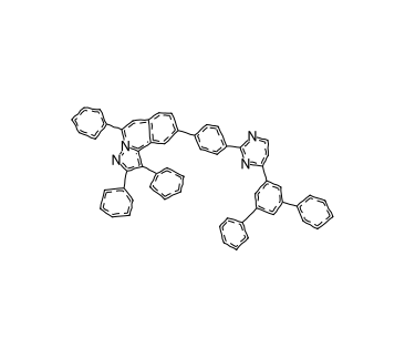 c1ccc(-c2cc(-c3ccccc3)cc(-c3ccnc(-c4ccc(-c5ccc6cc(-c7ccccc7)n7nc(-c8ccccc8)c(-c8ccccc8)c7c6c5)cc4)n3)c2)cc1